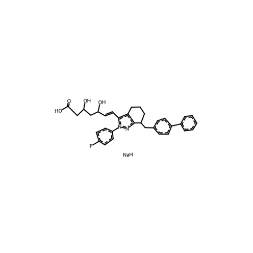 O=C(O)CC(O)CC(O)/C=C/c1c2c(nn1-c1ccc(F)cc1)C(Cc1ccc(-c3ccccc3)cc1)CCC2.[NaH]